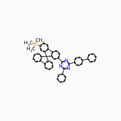 C=P(C)(C)c1ccc2c(c1)C1(c3ccccc3-c3ccccc31)c1cc(-c3nc(-c4ccccc4)nc(-c4ccc(-c5ccccc5)cc4)n3)ccc1-2